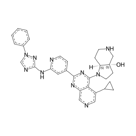 O[C@]12CCN(c3nc(-c4ccnc(Nc5ncn(-c6ccccc6)n5)c4)nc4cncc(C5CC5)c34)[C@H]1CCNC2